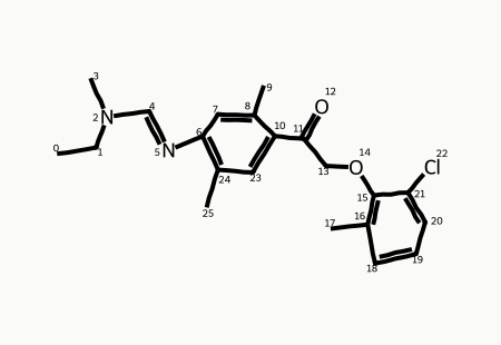 CCN(C)C=Nc1cc(C)c(C(=O)COc2c(C)cccc2Cl)cc1C